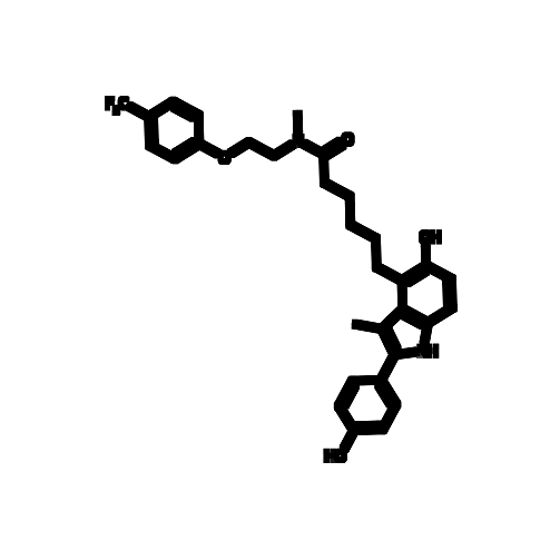 Cc1c(-c2ccc(O)cc2)[nH]c2ccc(O)c(CCCCCC(=O)N(C)CCOc3ccc(C(F)(F)F)cc3)c12